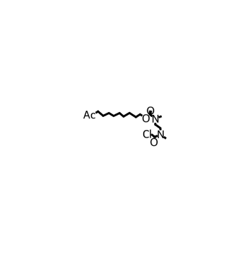 CC(=O)CCCCCCCCCOC(=O)N(C)CCN(C)C(=O)Cl